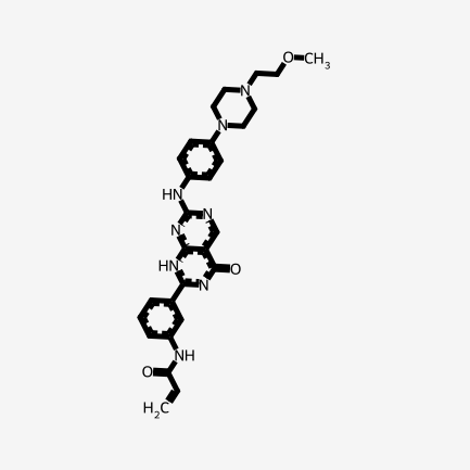 C=CC(=O)Nc1cccc(-c2nc(=O)c3cnc(Nc4ccc(N5CCN(CCOC)CC5)cc4)nc3[nH]2)c1